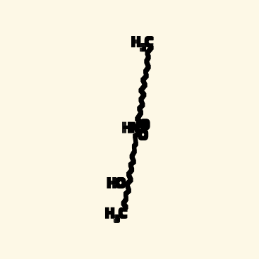 CCCCCCCCCCCCCCCCCC(=O)NC(=O)CCCCCCCCCCC(O)CCCCCC